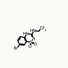 O=S1(=O)N=C(NCC(F)(F)F)Nc2ccc(Br)cc21